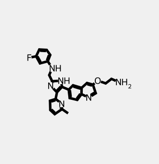 Cc1cccc(-c2nc(CNc3cccc(F)c3)[nH]c2-c2ccc3ncc(OCCN)cc3c2)n1